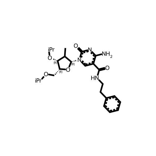 CC(C)OC[C@H]1O[C@@H](n2cc(C(=O)NCCc3ccccc3)c(N)nc2=O)C(C)[C@H]1OC(C)C